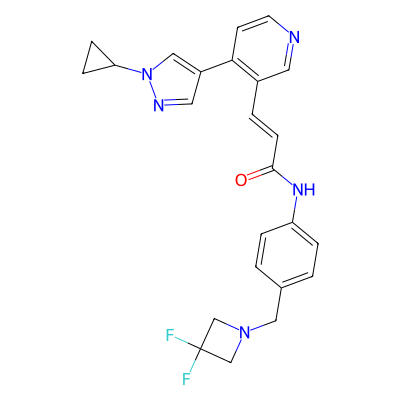 O=C(C=Cc1cnccc1-c1cnn(C2CC2)c1)Nc1ccc(CN2CC(F)(F)C2)cc1